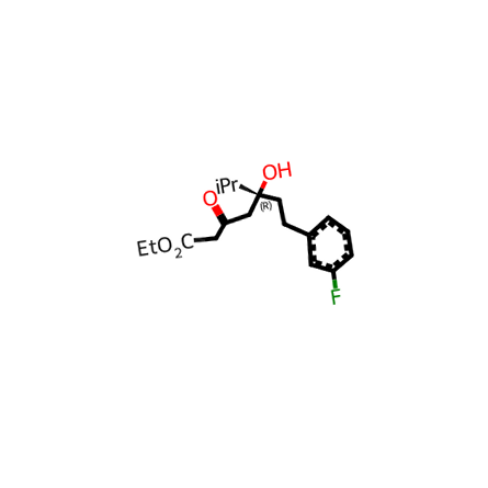 CCOC(=O)CC(=O)C[C@](O)(CCc1cccc(F)c1)C(C)C